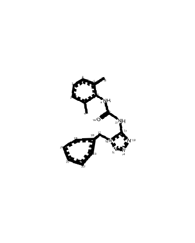 Cc1cccc(C)c1NC(=O)Nc1nnnn1Cc1ccccc1